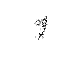 CS(=O)(=O)CCCNCc1cc2nc(Cl)nc(N3CCOCC3)c2s1